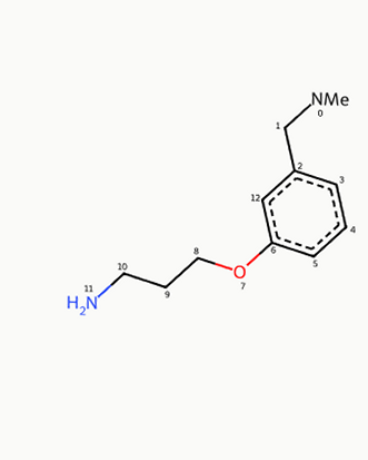 CNCc1cccc(OCCCN)c1